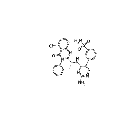 C[C@@H](Nc1nc(N)ncc1-c1cccc(S(N)(=O)=O)c1)c1nc2cccc(Cl)c2c(=O)n1-c1ccccc1